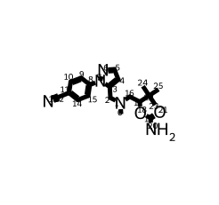 CN(Cc1ccnn1-c1ccc(C#N)cc1)CC(OC(N)=O)C(C)(C)C